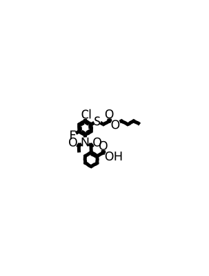 CCCCOC(=O)CSc1cc(N(C(C)=O)C(=O)C2=C(C(=O)O)CCCC2)c(F)cc1Cl